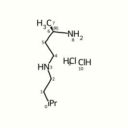 CC(C)CCNCC[C@@H](C)N.Cl.Cl